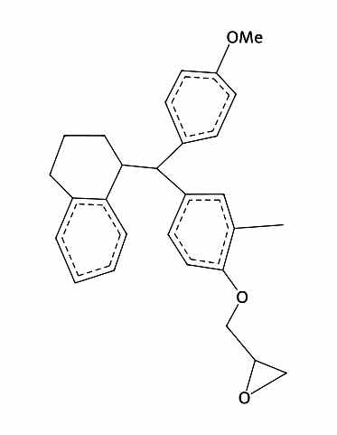 COc1ccc(C(c2ccc(OCC3CO3)c(C)c2)C2CCCc3ccccc32)cc1